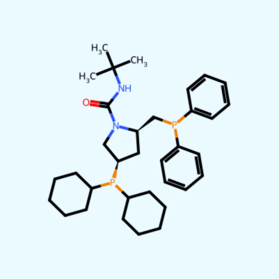 CC(C)(C)NC(=O)N1C[C@H](P(C2CCCCC2)C2CCCCC2)C[C@@H]1CP(c1ccccc1)c1ccccc1